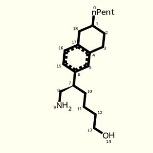 CCCCCC1CCc2cc([C@H](CN)CCCCO)ccc2C1